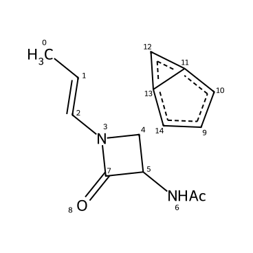 CC=CN1CC(NC(C)=O)C1=O.c1cc2cc-2c1